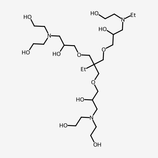 CCN(CCO)CC(O)COCC(CC)(COCC(O)CN(CCO)CCO)COCC(O)CN(CCO)CCO